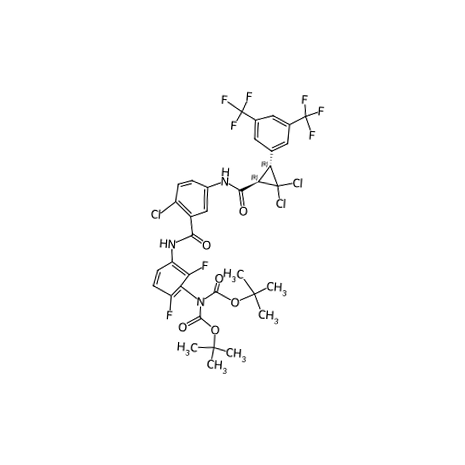 CC(C)(C)OC(=O)N(C(=O)OC(C)(C)C)c1c(F)ccc(NC(=O)c2cc(NC(=O)[C@H]3[C@H](c4cc(C(F)(F)F)cc(C(F)(F)F)c4)C3(Cl)Cl)ccc2Cl)c1F